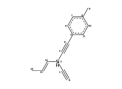 C#C[SiH](C#Cc1ccc(C)cc1)C=CC